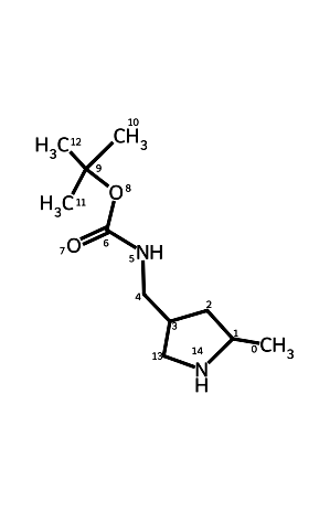 CC1CC(CNC(=O)OC(C)(C)C)CN1